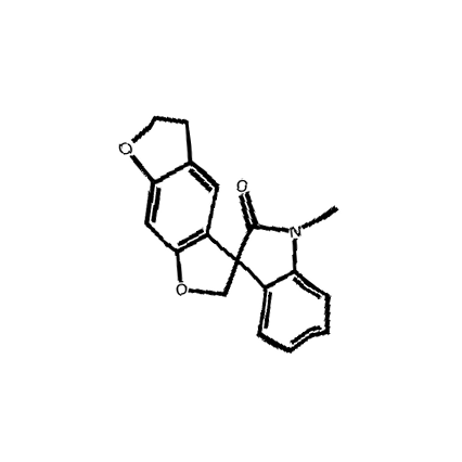 CN1C(=O)C2(COc3cc4c(cc32)CCO4)c2ccccc21